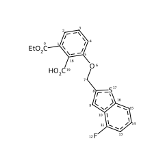 CCOC(=O)c1cccc(OCc2cc3c(F)cccc3s2)c1C(=O)O